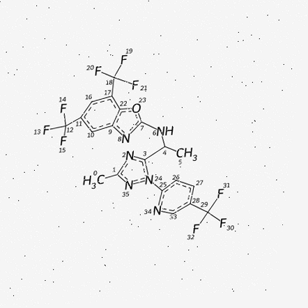 Cc1nc(C(C)Nc2nc3cc(C(F)(F)F)cc(C(F)(F)F)c3o2)n(-c2ccc(C(F)(F)F)cn2)n1